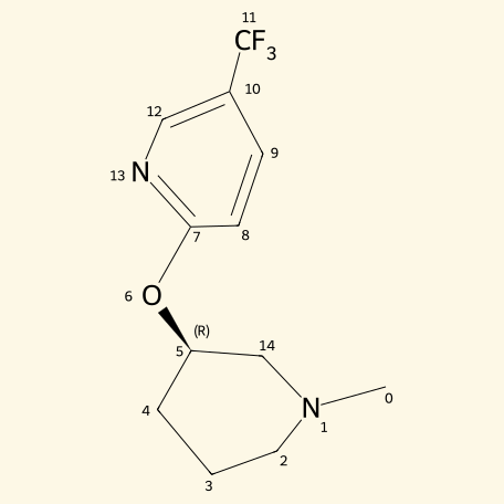 CN1CCC[C@@H](Oc2ccc(C(F)(F)F)cn2)C1